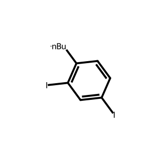 CCC[CH]c1ccc(I)cc1I